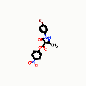 CC1=NN(c2ccc(Br)cc2)C(=O)C1C(=O)Oc1ccc([N+](=O)[O-])cc1